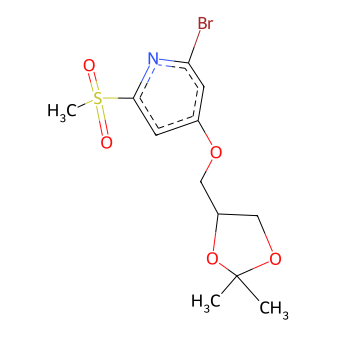 CC1(C)OCC(COc2cc(Br)nc(S(C)(=O)=O)c2)O1